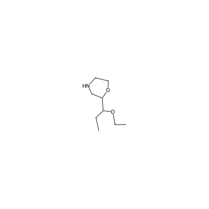 CCOC(CC)C1CNCCO1